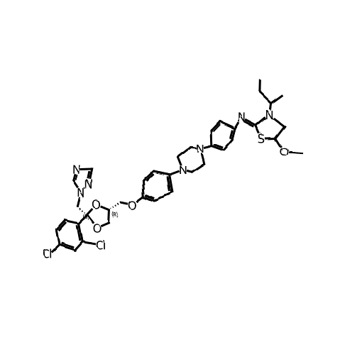 CCC(C)N1CC(OC)SC1=Nc1ccc(N2CCN(c3ccc(OC[C@@H]4CO[C@@](Cn5cncn5)(c5ccc(Cl)cc5Cl)O4)cc3)CC2)cc1